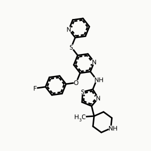 CC1(c2csc(Nc3ncc(Sc4ccccn4)cc3Oc3ccc(F)cc3)n2)CCNCC1